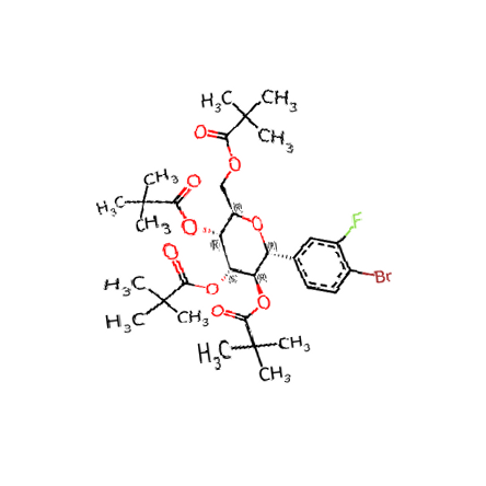 CC(C)(C)C(=O)OC[C@H]1O[C@H](c2ccc(Br)c(F)c2)[C@@H](OC(=O)C(C)(C)C)[C@H](OC(=O)C(C)(C)C)[C@@H]1OC(=O)C(C)(C)C